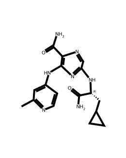 Cc1cc(Nc2nc(N[C@H](CC3CC3)C(N)=O)cnc2C(N)=O)ccn1